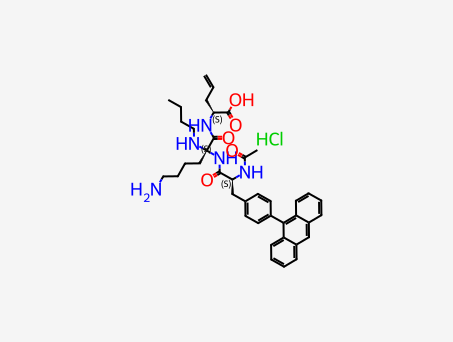 C=CC[C@H](NC(=O)[C@@](CCCCN)(NCCCC)NC(=O)[C@H](Cc1ccc(-c2c3ccccc3cc3ccccc23)cc1)NC(C)=O)C(=O)O.Cl